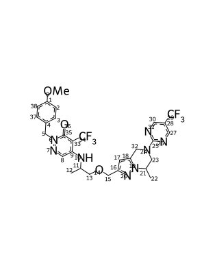 COc1ccc(Cn2ncc(NC(C)COCc3cc4n(n3)C(C)CN(c3ncc(C(F)(F)F)cn3)C4)c(C(F)(F)F)c2=O)cc1